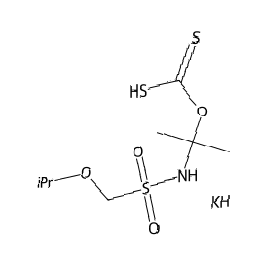 CC(C)OCS(=O)(=O)NC(C)(C)OC(=S)S.[KH]